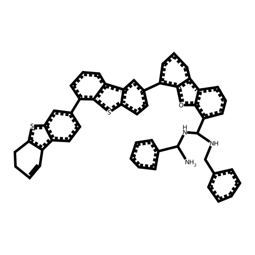 NC(NC(NCc1ccccc1)c1cccc2c1oc1c(-c3ccc4sc5c(-c6ccc7c8c(sc7c6)CCC=C8)cccc5c4c3)cccc12)c1ccccc1